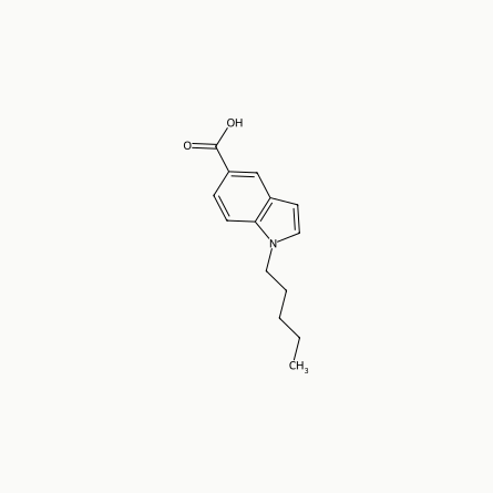 CCCCCn1ccc2cc(C(=O)O)ccc21